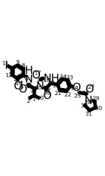 CC(C)C(C(=O)Nc1ccc(I)cc1Cl)N1C(=O)NC(c2ccc(OCC(=O)N3CCCC3)cc2)C1=O